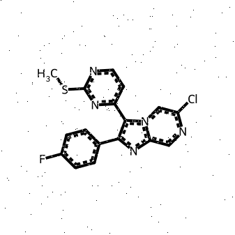 CSc1nccc(-c2c(-c3ccc(F)cc3)nc3cnc(Cl)cn23)n1